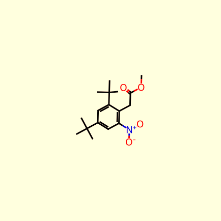 COC(=O)Cc1c([N+](=O)[O-])cc(C(C)(C)C)cc1C(C)(C)C